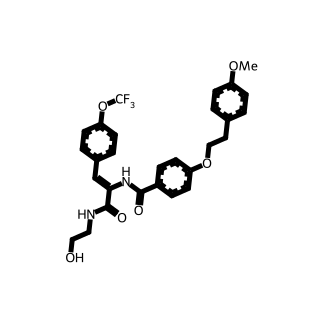 COc1ccc(CCOc2ccc(C(=O)N/C(=C\c3ccc(OC(F)(F)F)cc3)C(=O)NCCO)cc2)cc1